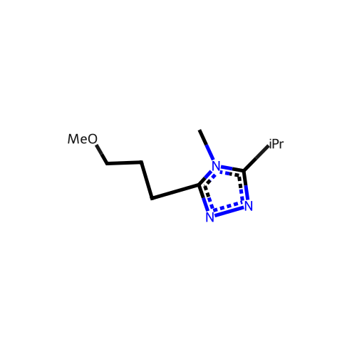 COCCCc1nnc(C(C)C)n1C